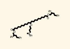 CC(C)CCC(COC(=O)CCCCCCCCCC(CCCCCCCCCC(=O)OCC(CCC(C)C)C(C)C)OCCCCN(C)C(C)C)C(C)C